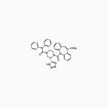 COC1=Cc2ccccc2N(C(=O)N2CCN(C(=O)N(c3ccccc3)c3ccccc3)C[C@H]2c2nnn[nH]2)c2ccccc21